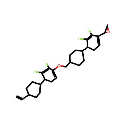 C=CC1CCC(C2CC=C(OCC3CCC(C4CC=C(C5CO5)C(F)=C4F)CC3)C(F)=C2F)CC1